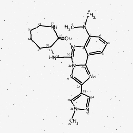 CN(C)c1cccc2c1nc(N[C@@H]1CCCCNC1=O)n1nc(-c3cnn(C)c3)nc21